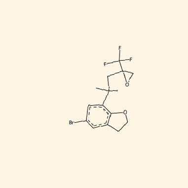 CC(C)(CC1(C(F)(F)F)CO1)c1cc(Br)cc2c1OCC2